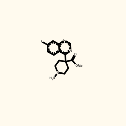 BN1CCC(C(=O)OC)(c2ncnc3cc(F)ccc23)CC1